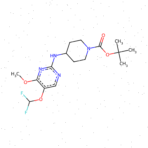 COc1nc(NC2CCN(C(=O)OC(C)(C)C)CC2)ncc1OC(F)F